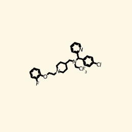 Fc1ccccc1OCCN1CCC(CN(CC(F)(F)F)C(c2ccc(Cl)cc2)c2ccccn2)CC1